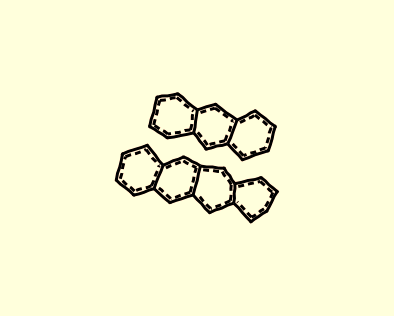 c1ccc2cc3cc4ccccc4cc3cc2c1.c1ccc2cc3ccccc3cc2c1